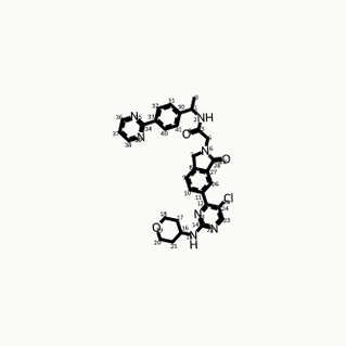 CC(NC(=O)CN1Cc2ccc(-c3nc(NC4CCOCC4)ncc3Cl)cc2C1=O)c1ccc(-c2ncccn2)cc1